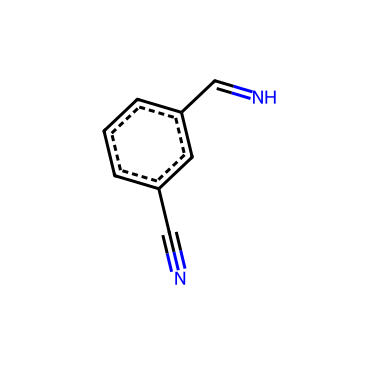 N#Cc1cccc(C=N)c1